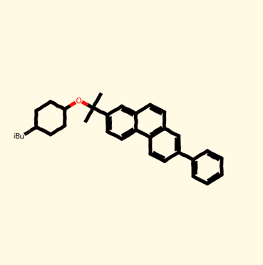 CCC(C)C1CCC(OC(C)(C)c2ccc3c(ccc4cc(-c5ccccc5)ccc43)c2)CC1